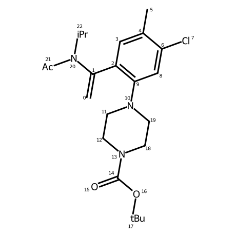 C=C(c1cc(C)c(Cl)cc1N1CCN(C(=O)OC(C)(C)C)CC1)N(C(C)=O)C(C)C